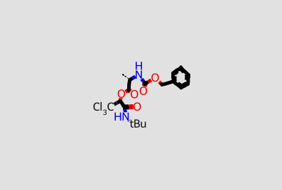 C[C@H](NC(=O)OCc1ccccc1)C(=O)OC(C(=O)NC(C)(C)C)C(Cl)(Cl)Cl